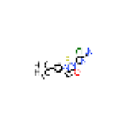 CC(C)c1ccc(N2C(=S)N(c3cnc(C#N)c(Cl)c3)C(=O)C23CCC3)cc1